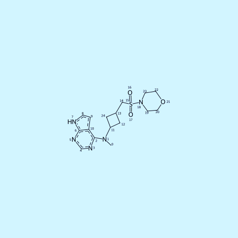 CN(c1ncnc2[nH]ccc12)C1CC(CS(=O)(=O)N2CCOCC2)C1